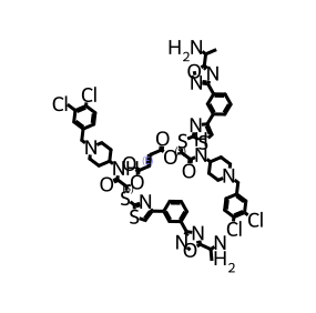 CC(N)c1nc(-c2cccc(-c3csc(S[C@H](OC(=O)/C=C/C(=O)O[C@@H](Sc4nc(-c5cccc(-c6noc(C(C)N)n6)c5)cs4)C(=O)NC4CCN(Cc5ccc(Cl)c(Cl)c5)CC4)C(=O)NC4CCN(Cc5ccc(Cl)c(Cl)c5)CC4)n3)c2)no1